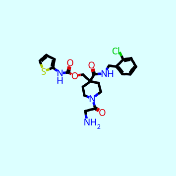 NCC(=O)N1CCC(COC(=O)Nc2cccs2)(C(=O)NCc2ccccc2Cl)CC1